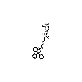 CCCC(C)CN1CCC[C@H](CNC(=O)CCCCCNC(=O)CC(c2ccccc2)(c2ccccc2)c2ccccc2)C1